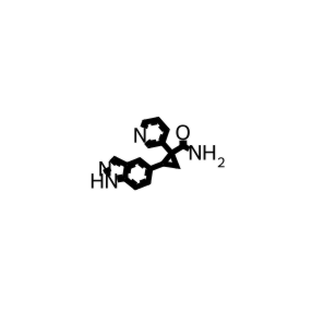 NC(=O)C1(c2cccnc2)CC1c1ccc2[nH]ncc2c1